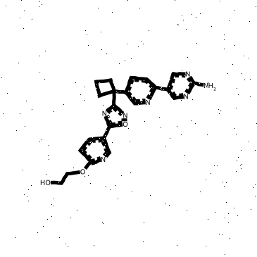 Nc1ncc(-c2ccc(C3(c4noc(-c5ccc(OCCO)nc5)n4)CCC3)cn2)cn1